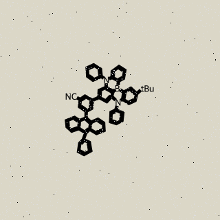 CC(C)(C)c1ccc2c(c1)B1c3ccccc3N(c3ccccc3)c3cc(-c4cc(C#N)cc(-c5c6ccccc6c(-c6ccccc6)c6ccccc56)c4)cc(c31)N2c1ccccc1